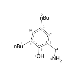 CCCCc1cc(CN)c(O)c(CCCC)c1